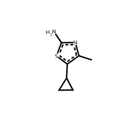 Cc1nc(N)sc1C1CC1